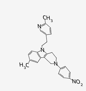 Cc1ccc2c(c1)c1c(n2CCc2ccc(C)nc2)CCN(c2ccc([N+](=O)[O-])cc2)C1